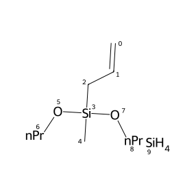 C=CC[Si](C)(OCCC)OCCC.[SiH4]